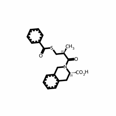 C[C@H](CSC(=O)c1ccccc1)C(=O)N1Cc2ccccc2C[C@H]1C(=O)O